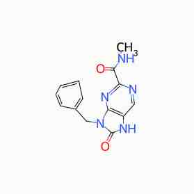 CNC(=O)c1ncc2[nH]c(=O)n(Cc3ccccc3)c2n1